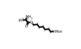 CCCCCCCCCCCCCCCCOC(=O)C(N)C(C)C